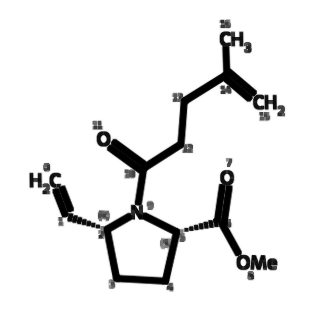 C=C[C@H]1CC[C@@H](C(=O)OC)N1C(=O)CCC(=C)C